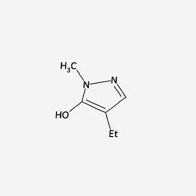 [CH2]Cc1cnn(C)c1O